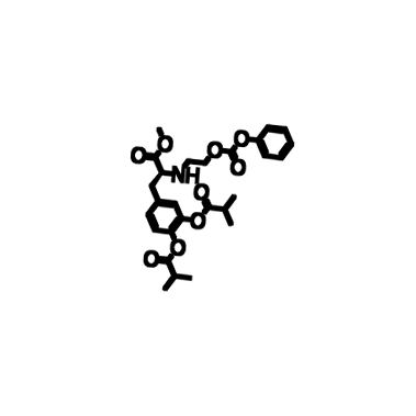 COC(=O)[C@H](Cc1ccc(OC(=O)C(C)C)c(OC(=O)C(C)C)c1)NCCOC(=O)Oc1ccccc1